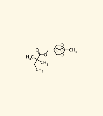 CCC(C)(C)C(=O)OCC12COC(C)(OC1)OC2